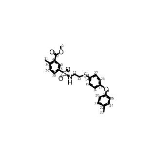 COC(=O)c1cc(S(=O)(=O)NCCSc2ccc(Oc3ccc(C)cc3)cc2)ccc1C